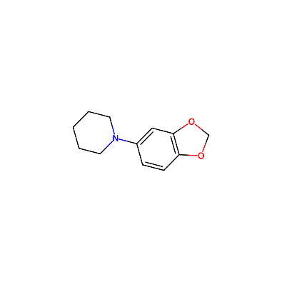 c1cc2c(cc1N1CCCCC1)OCO2